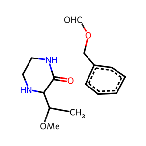 COC(C)C1NCCNC1=O.O=COCc1ccccc1